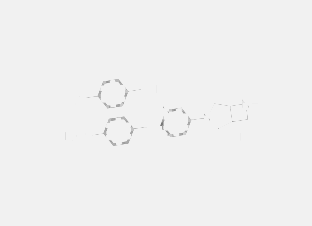 Cc1ccc(S(=O)(=O)O)cc1.Cc1ccc(S(=O)(=O)O)cc1.c1cncc(N2C[C@@H]3CN[C@@H]3C2)c1